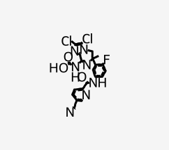 CC1(c2cc(NC(=O)c3ccc(C#N)cn3)ccc2F)Cn2c(nc(Cl)c2Cl)C(NC(=O)O)=N1